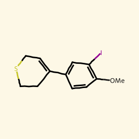 COc1ccc(C2=CCSCC2)cc1I